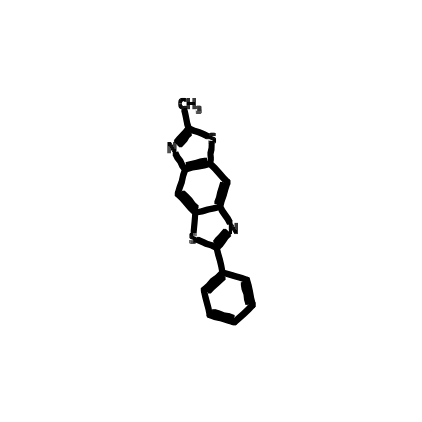 Cc1nc2cc3sc(-c4ccccc4)nc3cc2s1